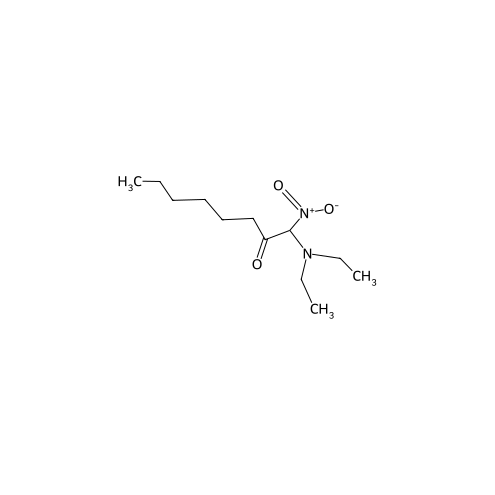 CCCCCCC(=O)C(N(CC)CC)[N+](=O)[O-]